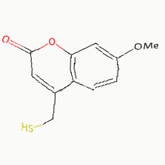 COc1ccc2c(CS)cc(=O)oc2c1